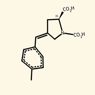 Cc1ccc(C=C2C[C@@H](C(=O)O)N(C(=O)O)C2)cc1